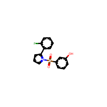 O=S(=O)(c1cccc(O)c1)n1cccc1-c1ccccc1F